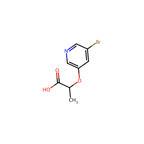 CC(Oc1cncc(Br)c1)C(=O)O